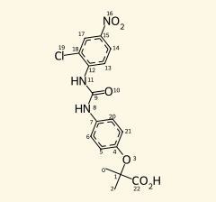 CC(C)(Oc1ccc(NC(=O)Nc2ccc([N+](=O)[O-])cc2Cl)cc1)C(=O)O